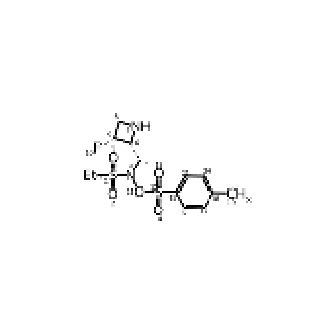 CCS(=O)(=O)N(C[C@H]1NC[C@H]1F)OS(=O)(=O)c1ccc(C)cc1